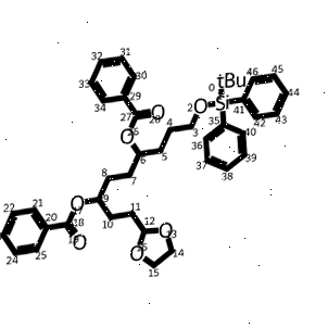 CC(C)(C)[Si](OCCCC(CCC(CCC1OCCO1)OC(=O)c1ccccc1)OC(=O)c1ccccc1)(c1ccccc1)c1ccccc1